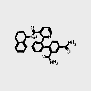 NC(=O)c1ccc(-c2ccccc2-c2ncccc2C(=O)NC2CCCc3ccccc32)c(C(N)=O)c1